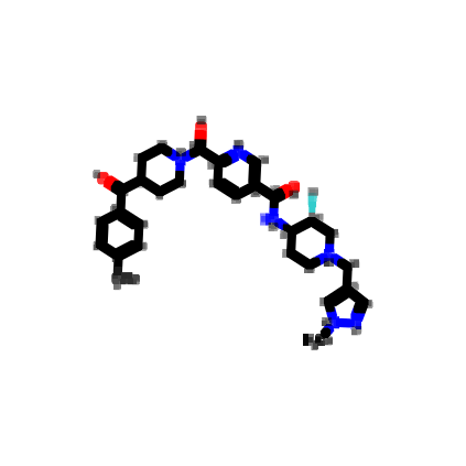 COc1ccc(C(=O)C2CCN(C(=O)c3ccc(C(=O)N[C@@H]4CCN(Cc5cnn(C)c5)C[C@H]4F)cn3)CC2)cc1